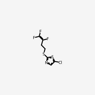 FC(F)=C(F)CCSc1ncc(Cl)s1